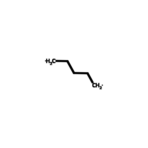 [CH2]CCC[CH2]